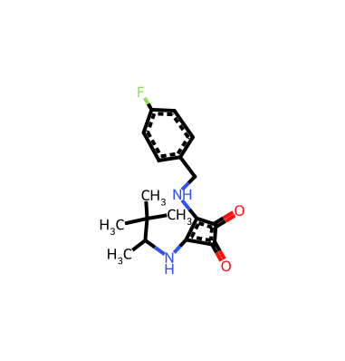 CC(Nc1c(NCc2ccc(F)cc2)c(=O)c1=O)C(C)(C)C